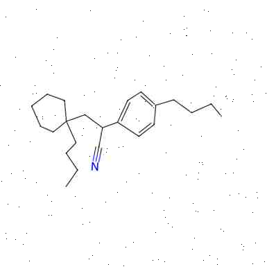 CCCCc1ccc(C(C#N)CC2(CCCC)CCCCC2)cc1